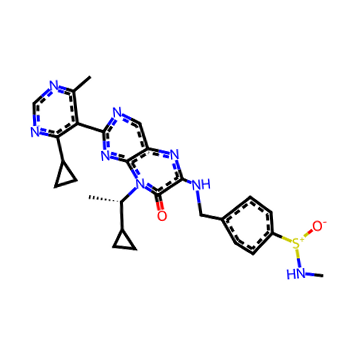 CN[S+]([O-])c1ccc(CNc2nc3cnc(-c4c(C)ncnc4C4CC4)nc3n([C@@H](C)C3CC3)c2=O)cc1